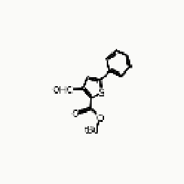 CC(C)(C)OC(=O)c1sc(-c2ccccc2)cc1C=O